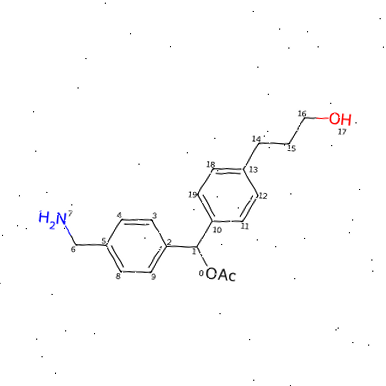 CC(=O)OC(c1ccc(CN)cc1)c1ccc(CCCO)cc1